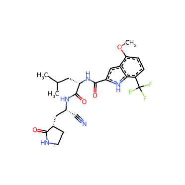 COc1ccc(C(F)(F)F)c2[nH]c(C(=O)N[C@@H](CC(C)C)C(=O)N[C@H](C#N)C[C@@H]3CCNC3=O)cc12